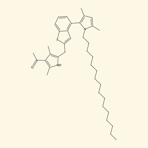 CCCCCCCCCCCCCCCCn1c(C)cc(C)c1-c1cccc2sc(Cc3[nH]c(C)c(C(C)=O)c3C)cc12